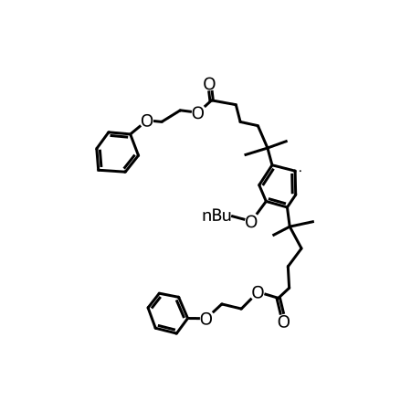 CCCCOc1cc(C(C)(C)CCCC(=O)OCCOc2ccccc2)[c]cc1C(C)(C)CCCC(=O)OCCOc1ccccc1